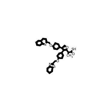 CC(C(=O)S)c1occ(-c2ccc(OCc3ccc4ccccc4n3)cc2)c1-c1ccc(OCc2nc3ccccc3s2)cc1